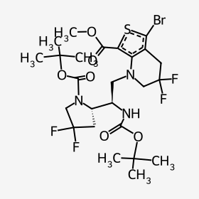 COC(=O)c1sc(Br)c2c1N(C[C@@H](NC(=O)OC(C)(C)C)[C@@H]1CC(F)(F)CN1C(=O)OC(C)(C)C)CC(F)(F)C2